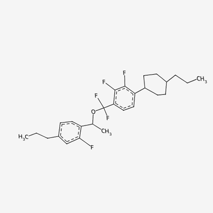 CCCc1ccc(C(C)OC(F)(F)c2ccc(C3CCC(CCC)CC3)c(F)c2F)c(F)c1